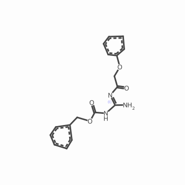 N/C(=N\C(=O)COc1ccccc1)NC(=O)OCc1ccccc1